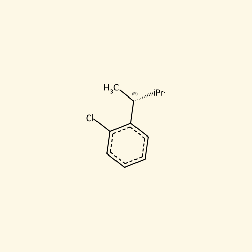 C[C](C)[C@@H](C)c1ccccc1Cl